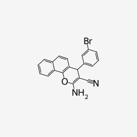 N#CC1=C(N)Oc2c(ccc3ccccc23)C1c1cccc(Br)c1